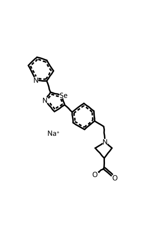 O=C([O-])C1CN(Cc2ccc(-c3cnc(-c4ccccn4)[se]3)cc2)C1.[Na+]